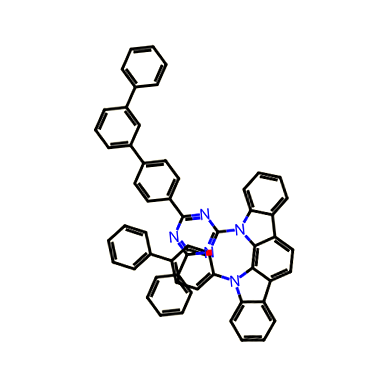 c1ccc(-c2ccc(-n3c4ccccc4c4ccc5c6ccccc6n(-c6nc(-c7ccccc7)nc(-c7ccc(-c8cccc(-c9ccccc9)c8)cc7)n6)c5c43)cc2)cc1